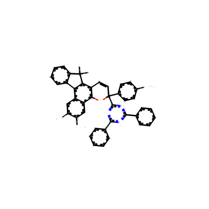 CCC1(CC)c2ccccc2-c2c1c1c(c3cc(OC)c(OC)cc23)OC(c2ccc(OC)cc2)(c2nc(-c3ccccc3)nc(-c3ccccc3)n2)C=C1